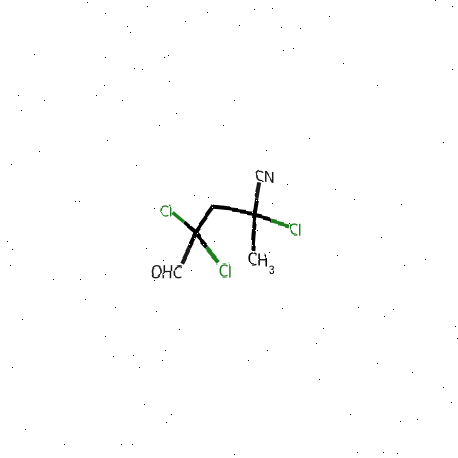 CC(Cl)(C#N)CC(Cl)(Cl)C=O